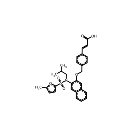 Cc1ccc(S(=O)(=O)N(CC(C)C)c2cc3ccccc3cc2OCc2ccc(/C=C/C(=O)O)cc2)o1